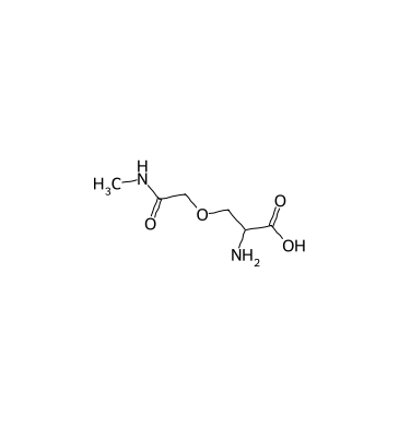 CNC(=O)COCC(N)C(=O)O